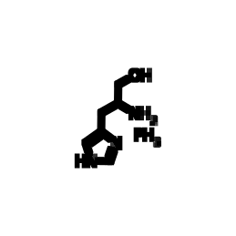 NC(CO)Cc1c[nH]cn1.P